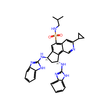 CC(C)CNS(=O)(=O)c1cc2c(c3cnc(C4CC4)cc13)[C@H](Nc1nc3ccccc3[nH]1)C[C@H]2Nc1nc2ccccc2[nH]1